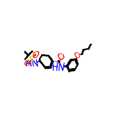 CCCCOc1cccc(NC(=O)[C@H]2CC[C@H](NS(=O)(=O)C(C)(C)C)CC2)c1